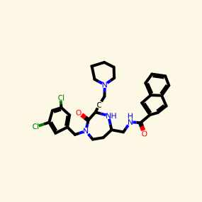 O=C(NCC1CCN(Cc2cc(Cl)cc(Cl)c2)C(=O)C(CCN2CCCCC2)N1)c1ccc2ccccc2c1